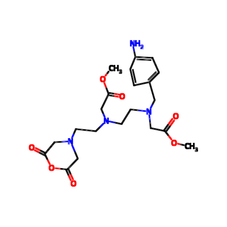 COC(=O)CN(CCN1CC(=O)OC(=O)C1)CCN(CC(=O)OC)Cc1ccc(N)cc1